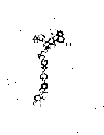 CCc1c(F)ccc2cc(O)cc(-c3ncc4c(N5CCC[C@]6(CCO6)C5)nc(OCC5(CN6CCC7(CC6)CC(N6CCN(c8ccc9c(c8)CN([C@H]8CCC(=O)NC8=O)C9=O)CC6)C7)CC5)nc4c3F)c12